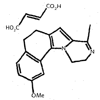 COc1ccc2c(c1)-c1c(cc3n1CCN=C3C)CC2.O=C(O)/C=C/C(=O)O